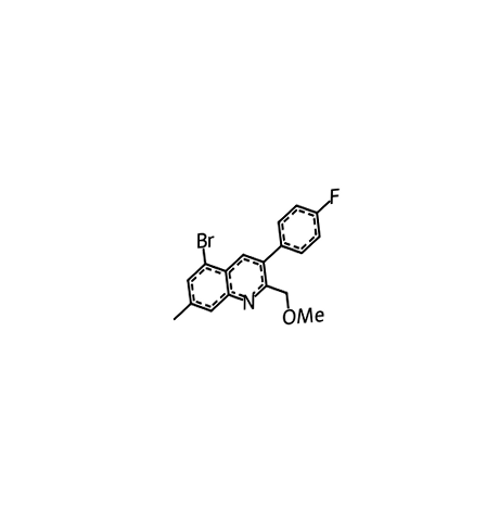 COCc1nc2cc(C)cc(Br)c2cc1-c1ccc(F)cc1